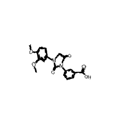 COc1ccc(N2CC(=O)N(c3cccc(C(=O)O)c3)C2=O)cc1OC